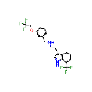 FC(F)(F)COc1cccc(CNCCc2c[nH]c3c(C(F)(F)F)cccc23)c1